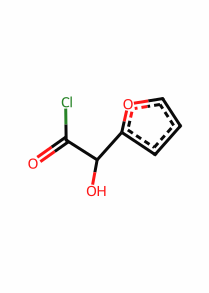 O=C(Cl)C(O)c1ccco1